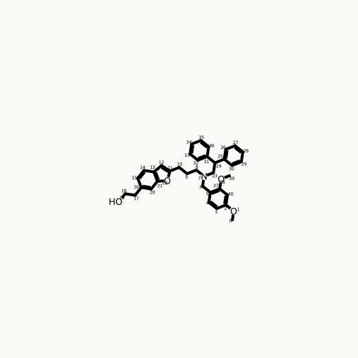 COc1ccc(CN(CCCc2cc3ccc(CCO)cc3o2)CC(c2ccccc2)c2ccccc2)c(OC)c1